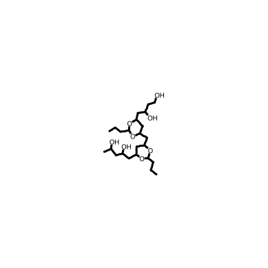 CCCC1OC(CC(O)CCO)CC(CC2CC(CC(O)CC(C)O)OC(CCC)O2)O1